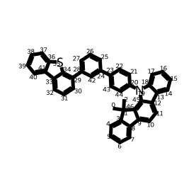 CC1(C)c2ccccc2-c2ccc3c4ccccc4n(-c4ccc(-c5cccc(-c6cccc7c6sc6ccccc67)c5)cc4)c3c21